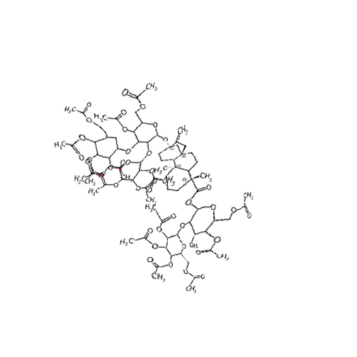 C=C1C[C@@]23CCC4[C@@](C)(CCC[C@@]4(C)C(=O)OC4OC(COC(C)=O)C(OC(C)=O)C(O)C4OC4OC(COC(C)=O)C(OC(C)=O)C(OC(C)=O)C4OC(C)=O)C2CC[C@]1(OC1OC(COC(C)=O)C(OC(C)=O)C(OC2CC(COC(C)=O)C(OC(C)=O)C(OC(C)=O)C2OC(C)=O)C1OC1OC(COC(C)=O)C(OC(C)=O)C(OC(C)=O)C1OC(C)=O)C3